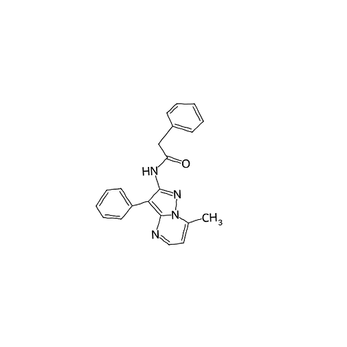 Cc1ccnc2c(-c3ccccc3)c(NC(=O)Cc3ccccc3)nn12